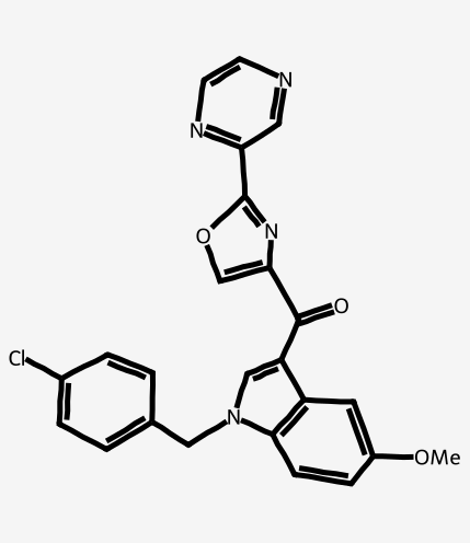 COc1ccc2c(c1)c(C(=O)c1coc(-c3cnccn3)n1)cn2Cc1ccc(Cl)cc1